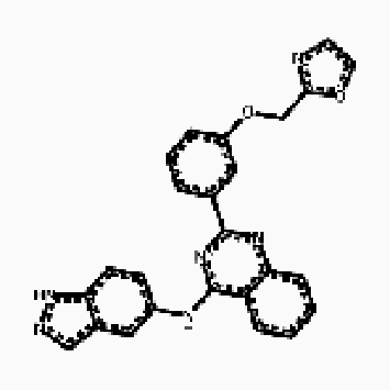 c1cc(OCc2ncco2)cc(-c2nc(Nc3ccc4[nH]ncc4c3)c3ccccc3n2)c1